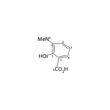 CNc1cccc(C(=O)O)c1O